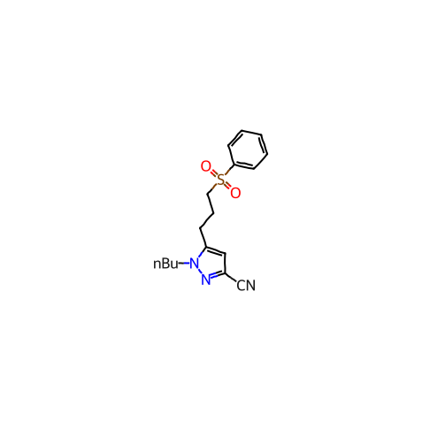 CCCCn1nc(C#N)cc1CCCS(=O)(=O)c1ccccc1